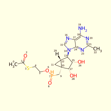 CC(=O)SCCO[PH](=O)C[C@]12C[C@@H]1[C@@H](n1cnc3c(N)nc(C)nc31)[C@H](O)[C@@H]2O